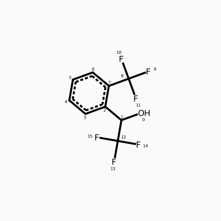 OC(c1ccccc1C(F)(F)F)C(F)(F)F